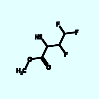 COC(=O)C(S)C(F)C(F)F